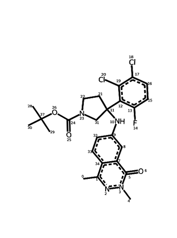 Cc1nn(C)c(=O)c2cc(NC3(c4c(F)ccc(Cl)c4Cl)CCN(C(=O)OC(C)(C)C)C3)ccc12